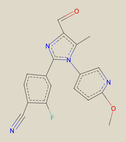 COc1ccc(-n2c(-c3ccc(C#N)c(F)c3)nc(C=O)c2C)cn1